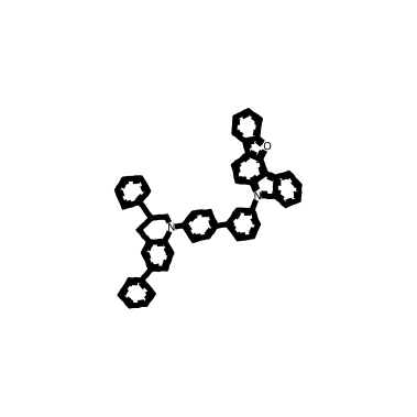 c1ccc(-c2ccc3c(c2)CC(c2ccccc2)CN3c2ccc(-c3cccc(-n4c5ccccc5c5c6oc7ccccc7c6ccc54)c3)cc2)cc1